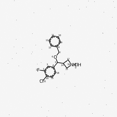 Cl.Fc1cc(C(OCc2ccccc2)C2CNC2)ccc1Cl